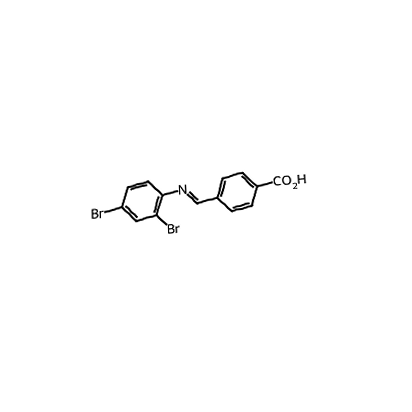 O=C(O)c1ccc(C=Nc2ccc(Br)cc2Br)cc1